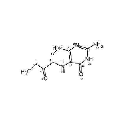 CCC(=O)C1CNc2nc(N)[nH]c(=O)c2N1